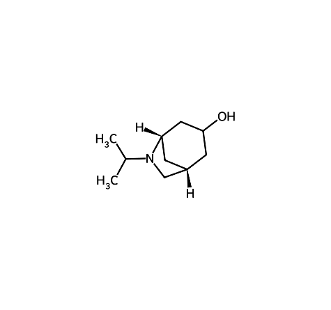 CC(C)N1C[C@H]2CC(O)C[C@@H]1C2